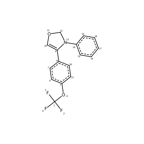 FC(F)(F)Oc1ccc(C2=COCN2c2ccccc2)cc1